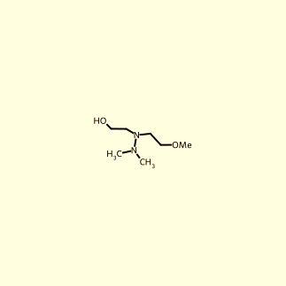 COCCN(CCO)N(C)C